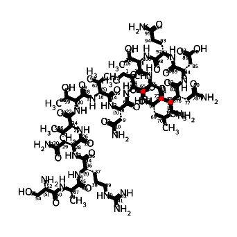 CC[C@H](C)[C@H](NC(=O)[C@H](CC(N)=O)NC(=O)[C@@H](NC(=O)[C@@H](NC(=O)[C@@H](NC(=O)[C@H](CC(N)=O)NC(=O)[C@H](CCCNC(=N)N)NC(=O)[C@H](C)NC(=O)[C@@H](N)CO)C(C)C)[C@@H](C)O)C(C)C)C(=O)N[C@@H](CC(C)C)C(=O)N[C@@H](CC(N)=O)C(=O)N[C@@H](CC(=O)O)C(=O)N[C@@H](CCC(N)=O)C(=O)N[C@H](C(=O)N[C@@H](CCCCN)C(=O)O)[C@@H](C)O